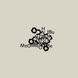 COC(=O)NC(C(=O)NN(Cc1ccc(OC)cc1)CC(O)C(Cc1ccccc1)NC(=O)C(N1CCN(Cc2nn(C)c3ccccc23)C1=O)C(C)(C)C)C(C)(C)C